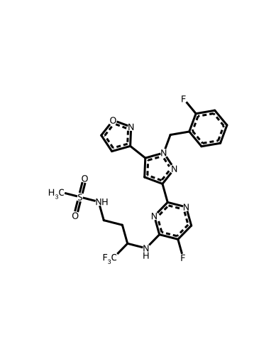 CS(=O)(=O)NCCC(Nc1nc(-c2cc(-c3ccon3)n(Cc3ccccc3F)n2)ncc1F)C(F)(F)F